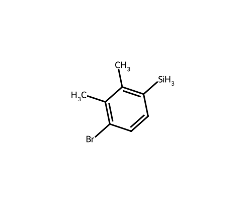 Cc1c([SiH3])ccc(Br)c1C